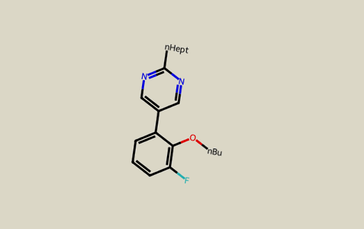 CCCCCCCc1ncc(-c2cccc(F)c2OCCCC)cn1